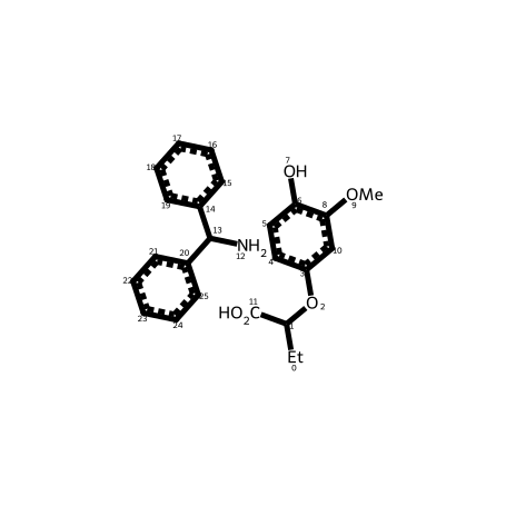 CCC(Oc1ccc(O)c(OC)c1)C(=O)O.NC(c1ccccc1)c1ccccc1